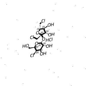 Cl.OC[C@H]1O[C@H](O[C@]2(CCl)O[C@H](CCl)[C@@H](O)[C@@H]2O)[C@H](O)[C@@H](O)[C@H]1Cl